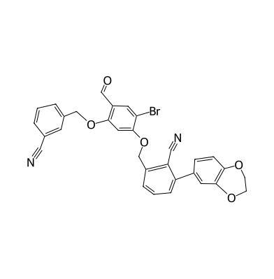 N#Cc1cccc(COc2cc(OCc3cccc(-c4ccc5c(c4)OCCO5)c3C#N)c(Br)cc2C=O)c1